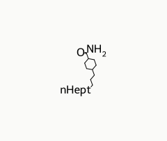 CCCCCCCCCCC1CCC(C(N)=O)CC1